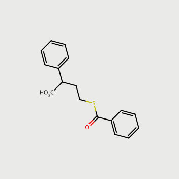 O=C(SCCC(C(=O)O)c1ccccc1)c1ccccc1